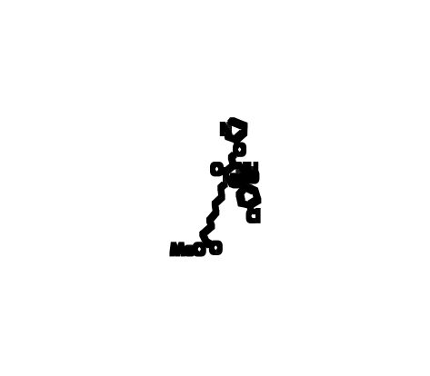 COC(=O)CCCCCCCNC(=O)C(COc1cccnc1)NS(=O)(=O)c1ccc(Cl)cc1